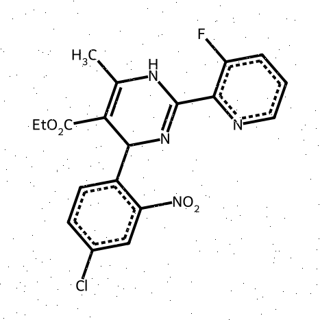 CCOC(=O)C1=C(C)NC(c2ncccc2F)=NC1c1ccc(Cl)cc1[N+](=O)[O-]